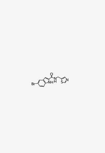 O=C(NCc1cncs1)c1cc2cc(Br)ccc2[nH]1